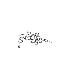 Cc1ccc(S(=O)(=O)n2ccc3c(CN4CCCCC4c4ccc(C#N)cc4)c(C)cc(C)c32)cc1